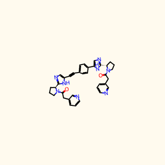 O=C(Cc1cccnc1)N1CCC[C@H]1c1ncc(C#Cc2ccc(-c3cnc([C@@H]4CCCN4C(=O)Cc4cccnc4)[nH]3)cc2)[nH]1